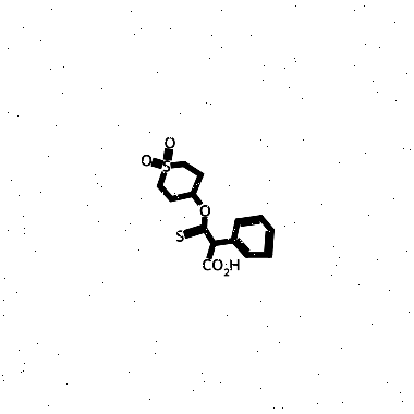 O=C(O)C(C(=S)OC1CCS(=O)(=O)CC1)c1ccccc1